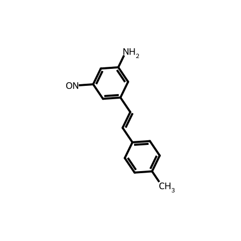 Cc1ccc(/C=C/c2cc(N)cc(N=O)c2)cc1